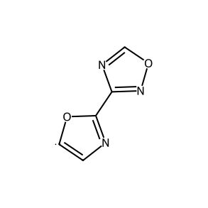 [c]1cnc(-c2ncon2)o1